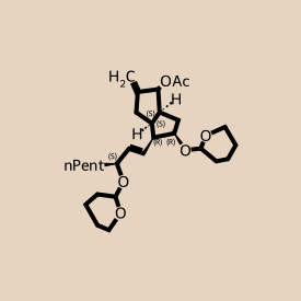 C=C1C[C@@H]2[C@H](C=C[C@H](CCCCC)OC3CCCCO3)[C@H](OC3CCCCO3)C[C@@H]2C1OC(C)=O